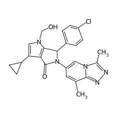 Cc1cc(N2C(=O)c3c(C4CC4)cn(CO)c3C2c2ccc(Cl)cc2)cn2c(C)nnc12